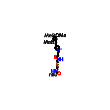 CCCCC(=O)NCCSSCCNC(=O)CCC[n+]1ccc(/C=C/c2cc(OC)c(OC)cc2OC)cc1